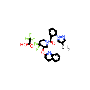 Cc1cnn(-c2ccccc2C(=O)N2CCC(F)(F)C(Oc3ccc4ccccc4n3)C2)c1.O=C(O)C(F)(F)F